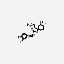 CCC[C@]1(OC(=O)[C@@H]2C[C@@H]2c2ccc(F)c(F)c2)CCCC(C)C1